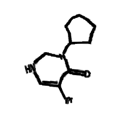 CC(C)C1=CNCN(C2CCCC2)C1=O